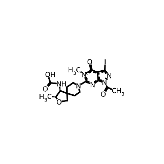 CC(=O)n1nc(I)c2c(=O)n(C)c(N3CCC4(CC3)CO[C@@H](C)[C@H]4NC(=O)O)nc21